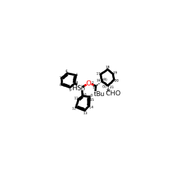 CC(C)(C)C(O[SiH](c1ccccc1)c1ccccc1)[C@@H]1CCCC[C@@H]1C=O